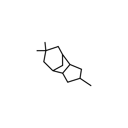 CC1CC2C3CC(CC(C)(C)C3)C2C1